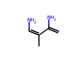 C=C(N)/C(C)=C\N